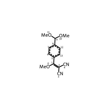 COC(=C(C#N)C#N)c1ccc(C(OC)OC)cc1